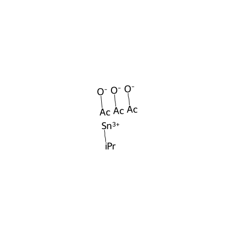 CC(=O)[O-].CC(=O)[O-].CC(=O)[O-].C[CH](C)[Sn+3]